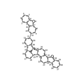 c1ccc2c(c1)oc1ccc(-c3ccc4c5cccc6c7c8ccc9c%10ccccc%10oc9c8ccc7n(c4c3)c56)cc12